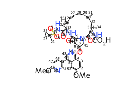 COc1ccc2c(O[C@@H]3C[C@H]4C(=O)N[C@]5(C(=O)NS(=O)(=O)C6(C)CC6)C[C@H]5C=CCC[C@@H](C)C[C@@H](C)[C@H](NC(=O)O)C(=O)N4C3)ncc(-c3ccc(OC)nc3)c2c1